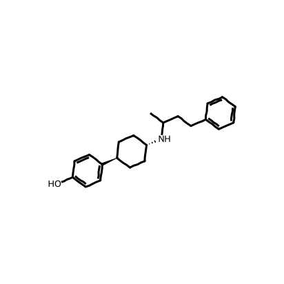 CC(CCc1ccccc1)N[C@H]1CC[C@H](c2ccc(O)cc2)CC1